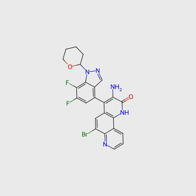 Nc1c(-c2cc(F)c(F)c3c2cnn3C2CCCCO2)c2cc(Br)c3ncccc3c2[nH]c1=O